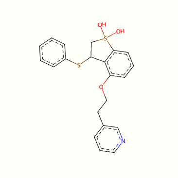 OS1(O)CC(Sc2ccccc2)c2c(OCCc3cccnc3)cccc21